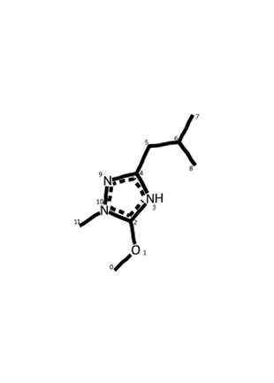 COc1[nH]c(CC(C)C)n[n+]1C